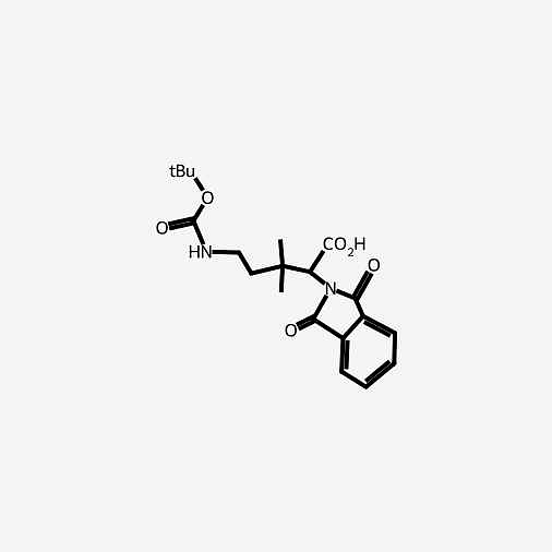 CC(C)(C)OC(=O)NCCC(C)(C)C(C(=O)O)N1C(=O)c2ccccc2C1=O